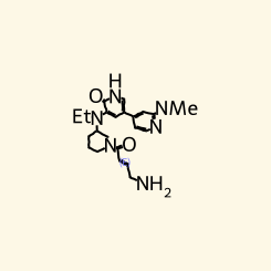 CCN(c1cc(-c2ccnc(NC)c2)c[nH]c1=O)C1CCCN(C(=O)/C=C/CN)C1